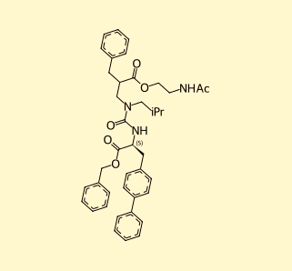 CC(=O)NCCOC(=O)C(Cc1ccccc1)CN(CC(C)C)C(=O)N[C@@H](Cc1ccc(-c2ccccc2)cc1)C(=O)OCc1ccccc1